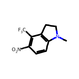 CN1CCc2c1ccc([N+](=O)[O-])c2C(F)(F)F